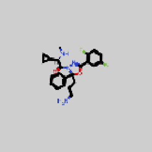 CN[C@H](C(=O)N1N=C(c2cc(F)ccc2F)OC1(CCCN)c1ccccc1)C1CC1